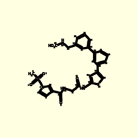 CS(=O)(=O)n1ccc(C(=O)NCC(=O)Nc2nc(-c3cccc(-c4cccc(CNC(=O)O)c4)c3)cs2)c1